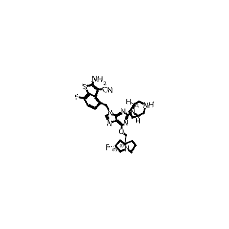 N#Cc1c(N)sc2c(F)ccc(Cn3cnc4c(OC[C@@]56CCCN5C[C@H](F)C6)nc(N5[C@@H]6CC[C@H]5CNC6)nc43)c12